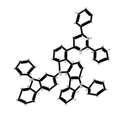 c1ccc(-c2cc(-c3cccc4c3c3ccc5c(c6ccccc6n5-c5ccccc5)c3n4-c3ccc4c5ccccc5n(-c5ccccc5)c4c3)nc(-c3ccccc3)n2)cc1